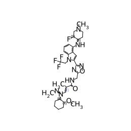 C=NN(/C=C(\C)C(=O)NCc1nc(-c2cc3c(N[C@@H]4CCN(C)C[C@@H]4F)cccc3n2CC(F)(F)F)no1)[C@@H]1CCCC[C@H]1OC